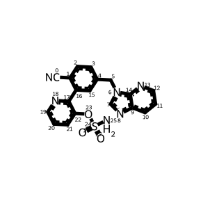 N#Cc1ccc(Cn2cnc3cccnc32)cc1-c1ncccc1OS(N)(=O)=O